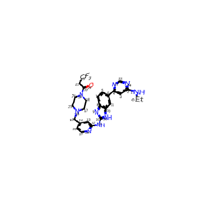 CCNc1cc(-c2ccc3nc(Nc4cc(CN5CCN(C(=O)CC(F)(F)F)CC5)ccn4)[nH]c3c2)ncn1